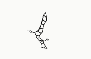 OC1C2C3C4C5C6CC6C5C4C3C2C2C1C1C3C4CC5CC5C4[C@H]3C21